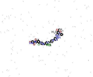 CC(=O)c1c(C)c2cnc(Nc3ccc(N4CCC(CCN5CCC(CN6CCN(c7ccc8c(c7Cl)CN(C7CCC(=O)NC7=O)C8=O)CC6)CC5)CC4)cn3)nc2n(C2CCCC2)c1=O.Cl.Cl